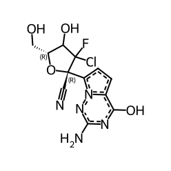 N#C[C@@]1(c2ccc3c(O)nc(N)nn23)O[C@H](CO)C(O)C1(F)Cl